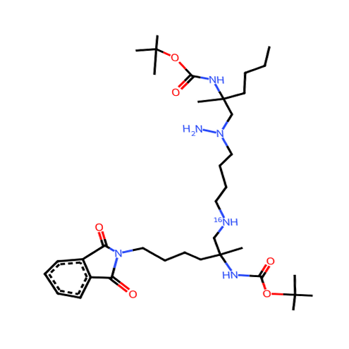 CCCCC(C)(CN(N)CCCC[16NH]CC(C)(CCCCN1C(=O)c2ccccc2C1=O)NC(=O)OC(C)(C)C)NC(=O)OC(C)(C)C